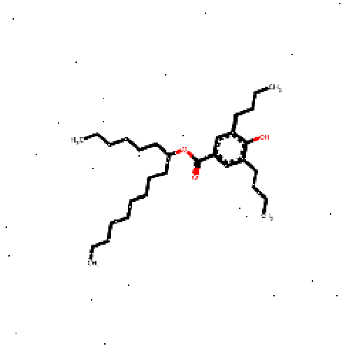 CCCCCCCCCC(CCCCCC)OC(=O)c1cc(CCCC)c(O)c(CCCC)c1